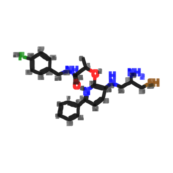 CC(Oc1nc(-c2ccccc2)ccc1NCC(N)CS)C(=O)NCc1ccc(F)cc1